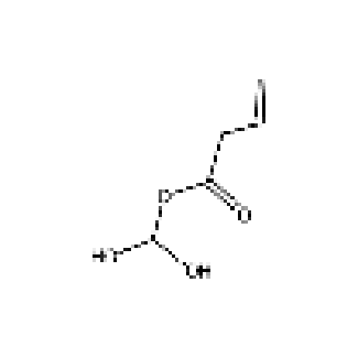 C=CCC(=O)OC(O)O